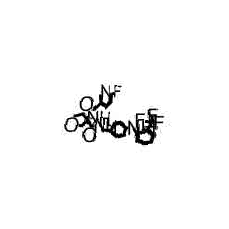 O=C(N[C@@]1(C(=O)NCc2ccc(Nc3ccccc3C(F)(F)F)cc2)CCOC1)c1ccc(F)nc1